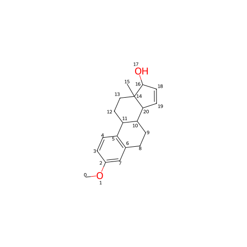 COc1ccc2c(c1)CCC1C2CCC2(C)C(O)C=CC12